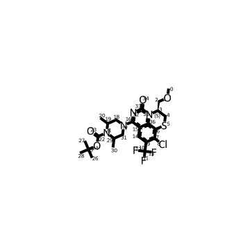 COC[C@H]1CSc2c(Cl)c(C(F)(F)F)cc3c(N4CC(C)N(C(=O)OC(C)(C)C)C(C)C4)nc(=O)n1c23